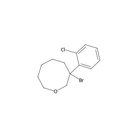 Clc1ccccc1C1(Br)CCCCCOC1